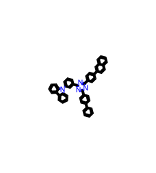 c1ccc(-c2ccc(-c3nc(-c4ccc(-c5ccc6ccccc6c5)cc4)nc(-c4cccc(-n5c6ccccc6c6ccccc65)c4)n3)cc2)cc1